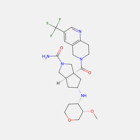 CO[C@@H]1COCC[C@@H]1N[C@@H]1C[C@H]2CN(C(N)=O)C[C@@]2(C(=O)N2CCc3ncc(C(F)(F)F)cc3C2)C1